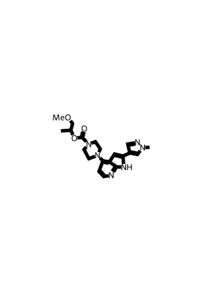 COCC(C)OC(=O)N1CCN(c2ccnc3[nH]c(-c4cnn(C)c4)cc23)CC1